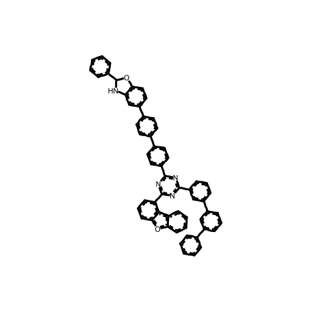 c1ccc(-c2cccc(-c3cccc(-c4nc(-c5ccc(-c6ccc(-c7ccc8c(c7)NC(c7ccccc7)O8)cc6)cc5)nc(-c5cccc6oc7ccccc7c56)n4)c3)c2)cc1